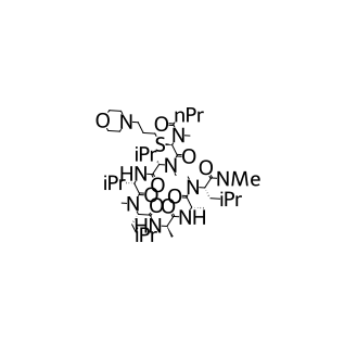 CCCC(=O)N(C)[C@H](SCCCN1CCOCC1)C(=O)N(C)[C@H](C(=O)N[C@H](C(=O)N(C)[C@@H](CC(C)C)C(=O)N[C@H](C)C(=O)N[C@@H](C)C(=O)N(C)[C@@H](CC(C)C)C(=O)NC)C(C)C)C(C)C